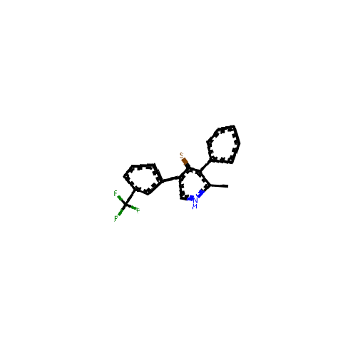 Cc1[nH]cc(-c2cccc(C(F)(F)F)c2)c(=S)c1-c1ccccc1